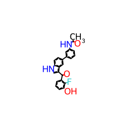 CC(=O)Nc1cccc(-c2ccc3[nH]cc(C(=O)c4cccc(O)c4F)c3c2)c1